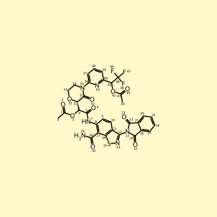 CC(=O)OC(C(=O)Nc1ccc2c(N3C(=O)c4ccccc4C3=O)nsc2c1C(N)=O)[C@H]1OCCN(c2cccc(C(OC(C)=O)C(F)(F)F)n2)C1=O